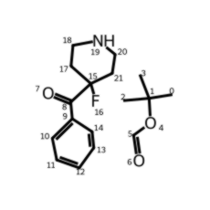 CC(C)(C)OC=O.O=C(c1ccccc1)C1(F)CCNCC1